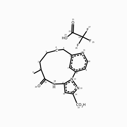 CC1CCCCc2cc(ccn2)-n2nc(C(=O)O)cc2NC1=O.O=C(O)C(F)(F)F